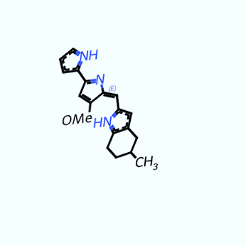 COC1=CC(c2ccc[nH]2)=N/C1=C/c1cc2c([nH]1)CCC(C)C2